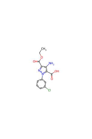 CCOC(=O)c1nn(-c2cccc(Cl)c2)c(C(=O)O)c1N